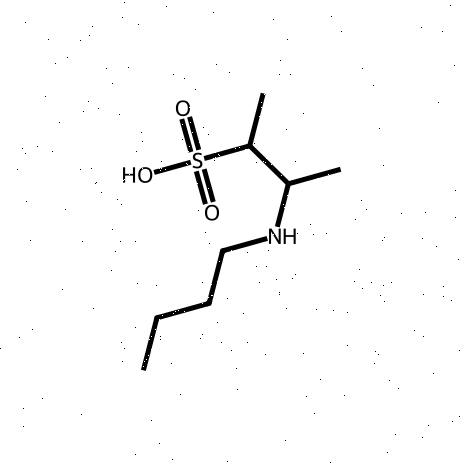 CCCCNC(C)C(C)S(=O)(=O)O